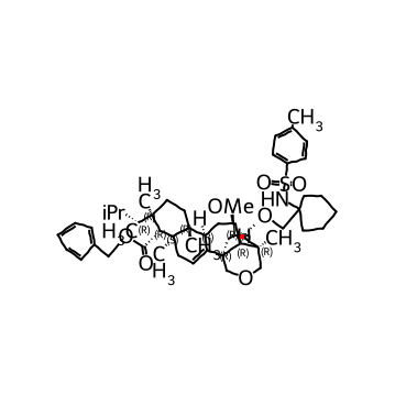 CO[C@@H]1C[C@@]23COC[C@@](C)([C@@H]2CC[C@H]2C3=CC[C@@]3(C)[C@H](C(=O)OCc4ccccc4)[C@@](C)([C@H](C)C(C)C)CC[C@]23C)[C@H]1OCC1(NS(=O)(=O)c2ccc(C)cc2)CCCCC1